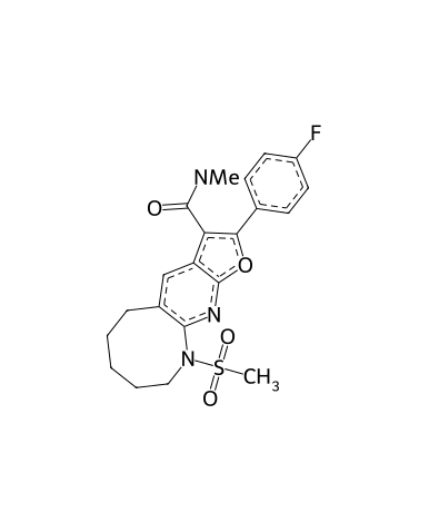 CNC(=O)c1c(-c2ccc(F)cc2)oc2nc3c(cc12)CCCCCN3S(C)(=O)=O